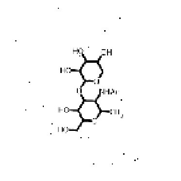 CC(=O)NC1C(C)OC(CO)C(O)C1OC1OCC(O)C(O)C1O